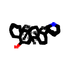 C[C@]12CCCCC1C(O)C[C@@H]1[C@@H]2CC[C@]2(C)C(c3cccnc3)=CC[C@@H]12